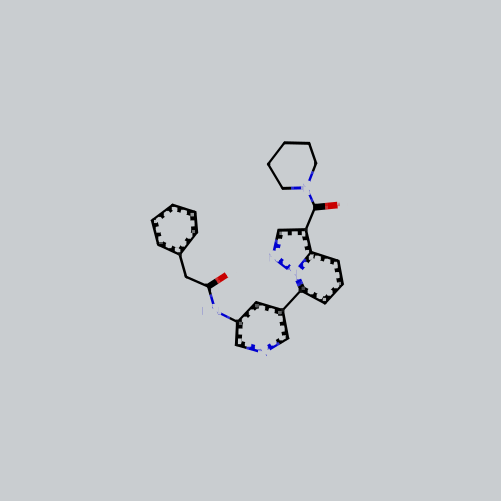 O=C(Cc1ccccc1)Nc1cncc(-c2cccc3c(C(=O)N4CCCCC4)cnn23)c1